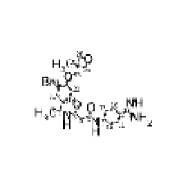 CC(NC(=O)CC(=O)Nc1ccc(C(=N)N)cc1)c1ccc(OCC2(C)COC2)c(Br)c1